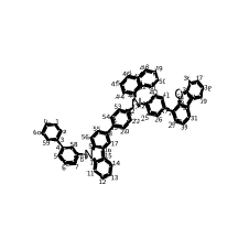 c1ccc(-c2cccc(-n3c4ccccc4c4cc(-c5ccc(N(c6ccc(-c7cccc8c7oc7ccccc78)cc6)c6cccc7ccccc67)cc5)ccc43)c2)cc1